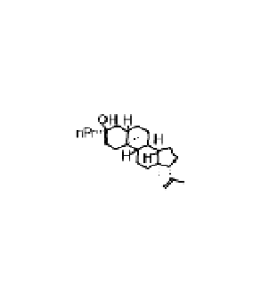 C=C(C)[C@H]1CC[C@H]2[C@@H]3CC[C@H]4C[C@@](O)(CCC)CC[C@]4(C)[C@H]3CC[C@]12C